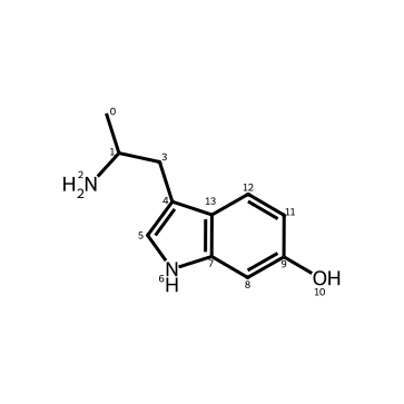 CC(N)Cc1c[nH]c2cc(O)ccc12